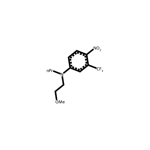 CCCN(CCOC)c1ccc([N+](=O)[O-])c(C(F)(F)F)c1